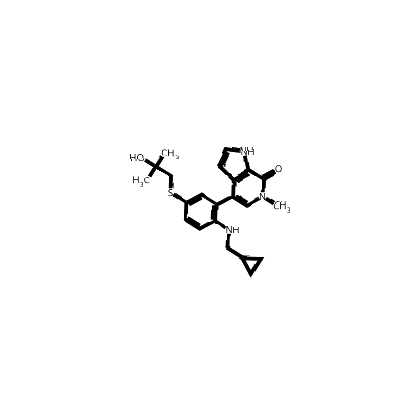 Cn1cc(-c2cc(SCC(C)(C)O)ccc2NCC2CC2)c2cc[nH]c2c1=O